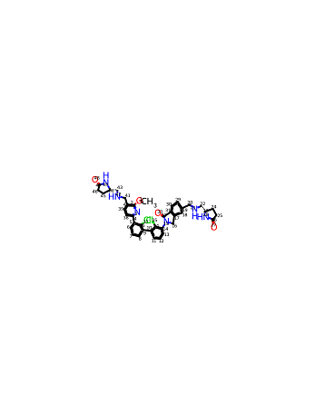 COc1nc(-c2cccc(-c3cccc(N4Cc5cc(CNC[C@@H]6CCC(=O)N6)ccc5C4=O)c3Cl)c2Cl)ccc1CNC[C@@H]1CCC(=O)N1